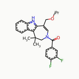 CC(C)OCC1=CN(C(=O)c2ccc(F)c(F)c2)CC(C)(C)c2c1[nH]c1ccccc21